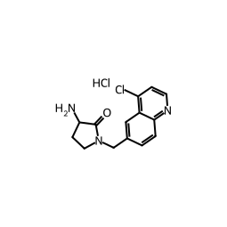 Cl.NC1CCN(Cc2ccc3nccc(Cl)c3c2)C1=O